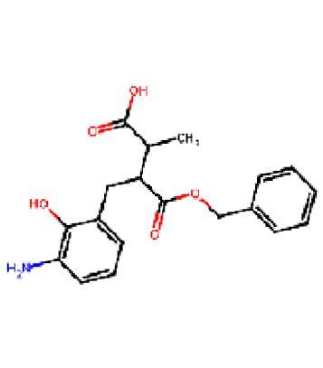 CC(C(=O)O)C(Cc1cccc(N)c1O)C(=O)OCc1ccccc1